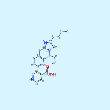 CCCCc1nc(Cc2ccc(-c3cnccc3C(=O)O)cc2)n(CCC)n1